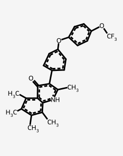 Cc1[nH]c2c(C)c(C)c(C)c(C)c2c(=O)c1-c1ccc(Oc2ccc(OC(F)(F)F)cc2)cc1